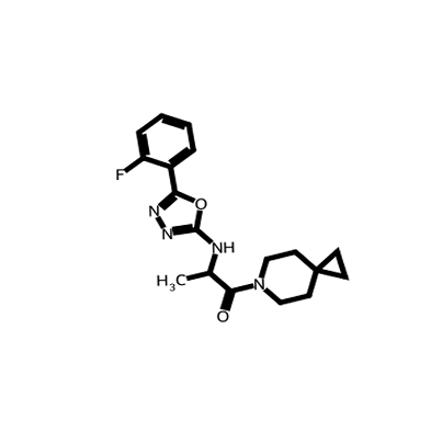 CC(Nc1nnc(-c2ccccc2F)o1)C(=O)N1CCC2(CC1)CC2